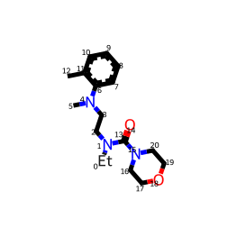 CCN(CCN(C)c1ccccc1C)C(=O)N1CCOCC1